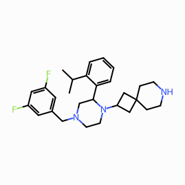 CC(C)c1ccccc1C1CN(Cc2cc(F)cc(F)c2)CCN1C1CC2(CCNCC2)C1